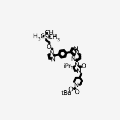 CC(C)[C@H]1CN(CC2CCN(C(=O)OC(C)(C)C)CC2)C(=O)N1c1ccn2ncc(-c3ccc(-c4nccn4COCC[Si](C)(C)C)cc3)c2n1